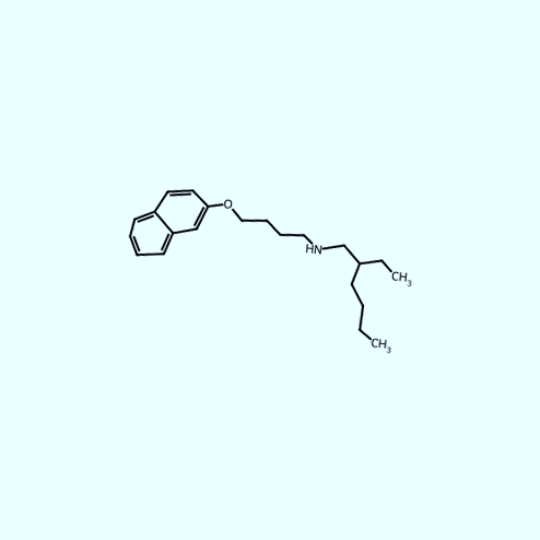 CCCCC(CC)CNCCCCOc1ccc2ccccc2c1